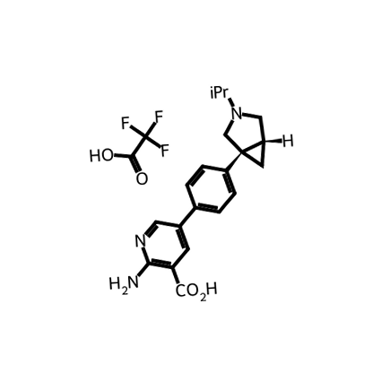 CC(C)N1C[C@@H]2C[C@]2(c2ccc(-c3cnc(N)c(C(=O)O)c3)cc2)C1.O=C(O)C(F)(F)F